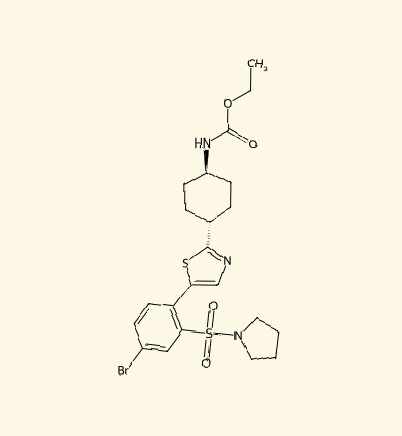 CCOC(=O)N[C@H]1CC[C@H](c2ncc(-c3ccc(Br)cc3S(=O)(=O)N3CCCC3)s2)CC1